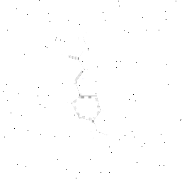 COC(=O)/C=C/c1ccc(N(C)C)cc1